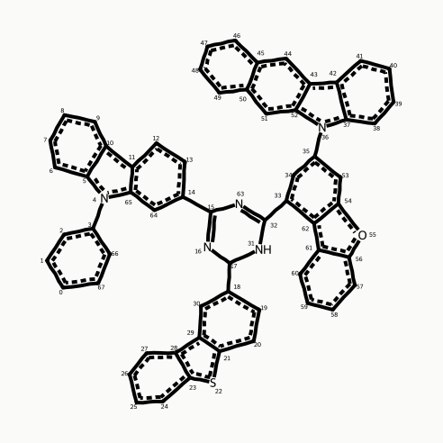 c1ccc(-n2c3ccccc3c3ccc(C4=NC(c5ccc6sc7ccccc7c6c5)NC(c5cc(-n6c7ccccc7c7cc8ccccc8cc76)cc6oc7ccccc7c56)=N4)cc32)cc1